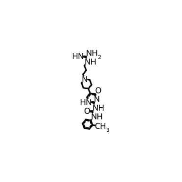 Cc1ccccc1NC(=O)Nc1nc(=O)c(C2CCN(CCCNC(=N)N)CC2)c[nH]1